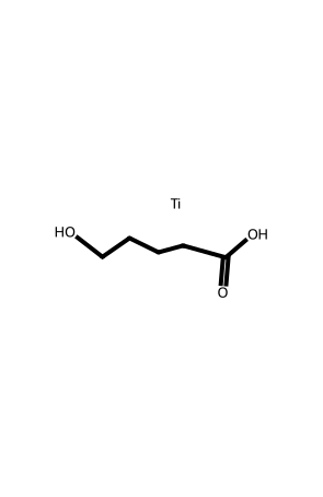 O=C(O)CCCCO.[Ti]